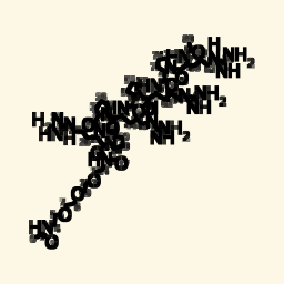 CC(=O)NCCOCCOCCOCCNC(=O)[C@H]1CCCN1C(=O)C(CCCNC(=N)N)NC(=O)C1CCCN1C(=O)C(CCCNC(=N)N)NC(=O)[C@H]1CCCN1C(=O)C(CCCNC(=N)N)NC(=O)C1CCCN1C(=O)C(CCCNC(=N)N)NC(C)=O